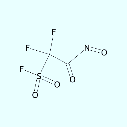 O=NC(=O)C(F)(F)S(=O)(=O)F